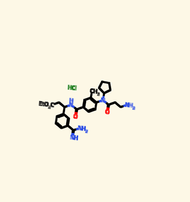 CCOC(=O)CC(NC(=O)c1ccc(N(C(=O)CCN)C2CCCC2)c(C)c1)c1cccc(C(=N)N)c1.Cl